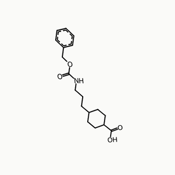 O=C(NCCCC1CCC(C(=O)O)CC1)OCc1ccccc1